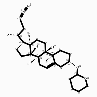 C[C@H](CN=[N+]=[N-])[C@H]1CC[C@H]2[C@@H]3CC=C4C[C@@H](OC5CCCCO5)CC[C@]4(C)[C@H]3CC[C@]12C